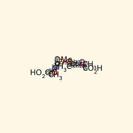 COc1cc2c(cc1OCCCOc1cc3c(cc1C)CN(C(=O)CC(C)C(=O)O)C3)CN(C(=O)CC(C)C(=O)O)C2